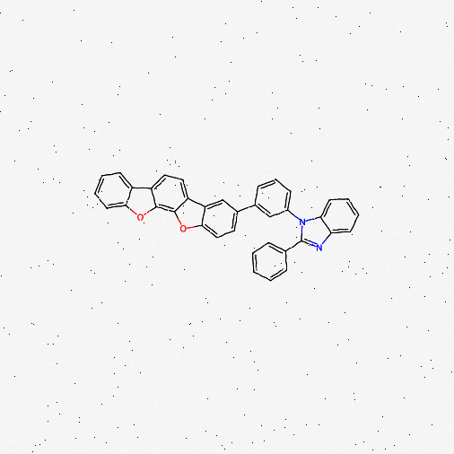 c1ccc(-c2nc3ccccc3n2-c2cccc(-c3ccc4oc5c(ccc6c7ccccc7oc65)c4c3)c2)cc1